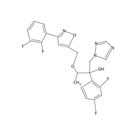 CC(OCc1cc(-c2cccc(F)c2F)no1)C(O)(Cn1cncn1)c1ccc(F)cc1F